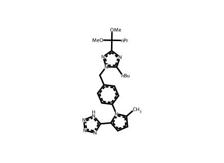 CCCCc1nc(C(CCC)(OC)OC)nn1Cc1ccc(-n2c(C)ccc2-c2nnn[nH]2)cc1